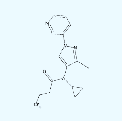 Cc1nn(-c2cccnc2)cc1N(C(=O)CCC(F)(F)F)C1CC1